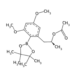 COc1cc(C[C@H](C)OC(C)=O)c(B2OC(C)(C)C(C)(C)O2)c(OC)c1